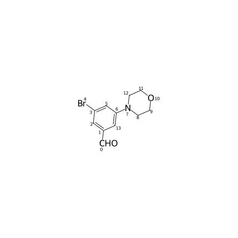 O=Cc1cc(Br)cc(N2CCOCC2)c1